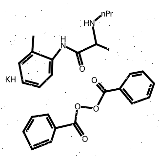 CCCNC(C)C(=O)Nc1ccccc1C.O=C(OOC(=O)c1ccccc1)c1ccccc1.[KH]